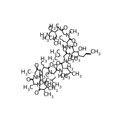 C/C=C/C[C@H](C)[C@H](O)C(C(=O)N[C@@H](CC)C(=O)N(C)CC(=O)N(C)[C@@H](CC(C)C)C(N)=O)N(C)C(=O)[C@@H](C(C)C)N(C)C(=O)[C@@H](CC(C)C)N(C)C(=O)[C@H](CC(C)C)N(C)C(=O)[C@H](C)NC(=O)[C@@H](C)NC(=O)[C@H](C)N(C)C(=O)[C@H](C)C(C)C